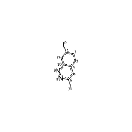 Ic1ccc2cc(I)nnc2c1